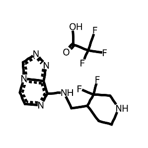 FC1(F)CNCCC1CNc1nccn2cnnc12.O=C(O)C(F)(F)F